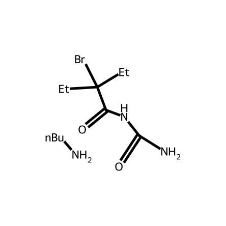 CCC(Br)(CC)C(=O)NC(N)=O.CCCCN